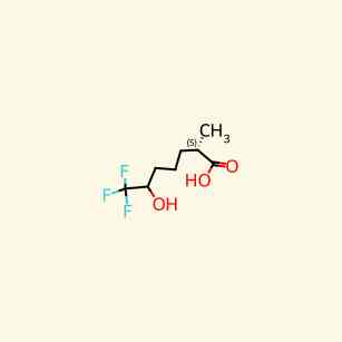 C[C@@H](CCCC(O)C(F)(F)F)C(=O)O